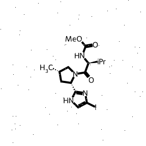 COC(=O)N[C@H](C(=O)N1C[C@@H](C)C[C@H]1c1nc(I)c[nH]1)C(C)C